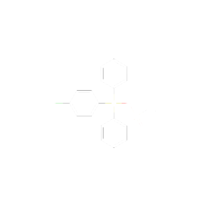 O=S(=O)(OS(c1ccccc1)(c1ccccc1)c1ccc(Cl)cc1)C(F)(F)F